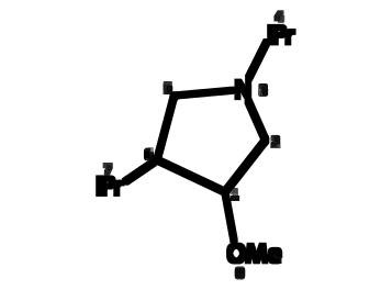 COC1CN(C(C)C)CC1C(C)C